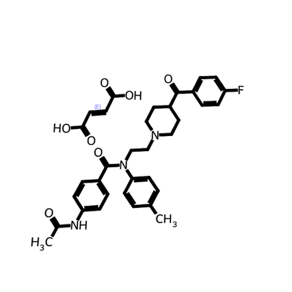 CC(=O)Nc1ccc(C(=O)N(CCN2CCC(C(=O)c3ccc(F)cc3)CC2)c2ccc(C)cc2)cc1.O=C(O)/C=C/C(=O)O